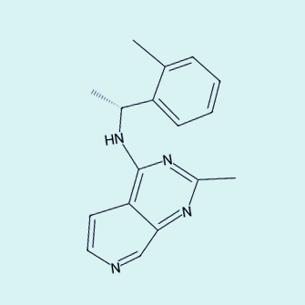 Cc1nc(N[C@H](C)c2ccccc2C)c2ccncc2n1